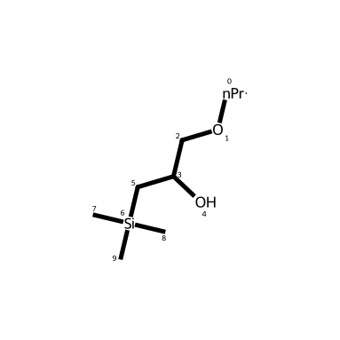 CC[CH]OCC(O)C[Si](C)(C)C